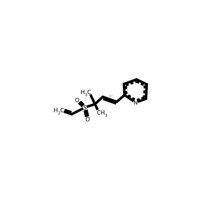 C=CS(=O)(=O)C(C)(C)/C=C/c1ccccn1